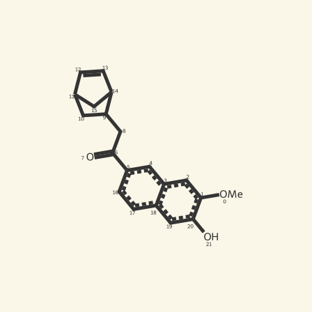 COc1cc2cc(C(=O)CC3CC4C=CC3C4)ccc2cc1O